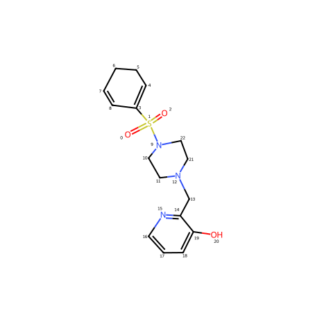 O=S(=O)(C1=CCCC=C1)N1CCN(Cc2ncccc2O)CC1